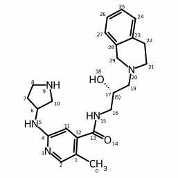 Cc1cnc(NC2CCNC2)cc1C(=O)NC[C@H](O)CN1CCc2ccccc2C1